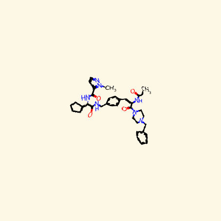 CCC(=O)N/C(=C/c1ccc(CNC(=O)[C@@H](NC(=O)c2ccnn2C)C2CCCC2)cc1)C(=O)N1CCN(Cc2ccccc2)CC1